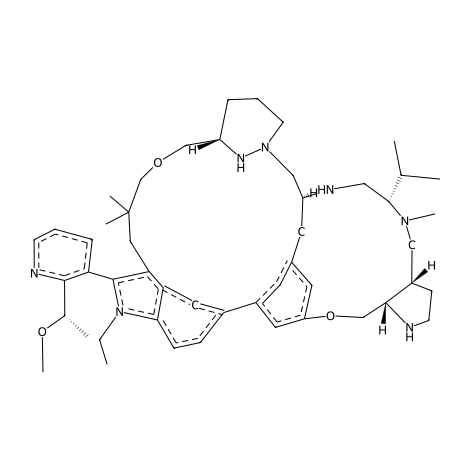 CCn1c(-c2cccnc2[C@H](C)OC)c2c3cc(ccc31)-c1cc3cc(c1)OC[C@H]1NCC[C@H]1CN(C)[C@@H](C(C)C)CN[C@@H](C3)CN1CCC[C@@H](COCC(C)(C)C2)N1